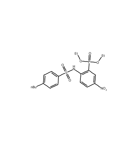 CCCCc1ccc(S(=O)(=O)Nc2ccc([N+](=O)[O-])cc2P(=O)(OCC)OCC)cc1